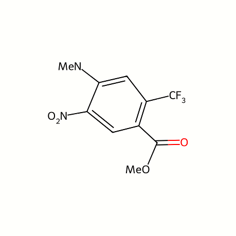 CNc1cc(C(F)(F)F)c(C(=O)OC)cc1[N+](=O)[O-]